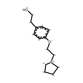 OCCc1ccc(OCCN2CCCC2)cc1